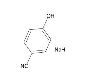 N#Cc1ccc(O)cc1.[NaH]